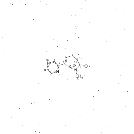 CN1C(=O)N2CC=C(c3cnccn3)C1C2